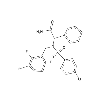 NC(=O)C(c1ccccc1)N(Cc1c(F)ccc(F)c1F)S(=O)(=O)c1ccc(Cl)cc1